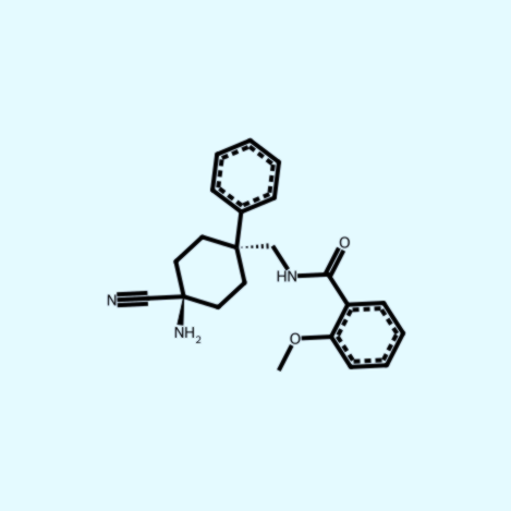 COc1ccccc1C(=O)NC[C@]1(c2ccccc2)CC[C@](N)(C#N)CC1